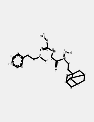 CCCCCN(CCC12CC3CC(CC(C3)C1)C2)C(=O)[C@H](CSCCc1ccncc1)NC(=O)OC(C)(C)C